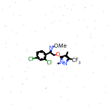 CON=C(COc1c(C)c(C(F)(F)F)nn1C)c1ccc(Cl)cc1Cl